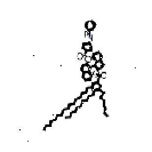 CCCCCCCCCCCCCCCCc1cc(C(=O)Oc2ccc3ccccc3c2-c2c(OC(=O)c3ccc(/N=N/c4ccccc4)cc3)ccc3ccccc23)cc(CCCCCCC)c1CCCCCCCCCC